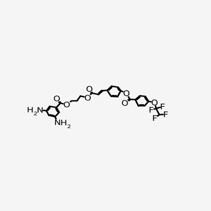 Nc1cc(N)cc(C(=O)OCCCOC(=O)/C=C/c2ccc(OC(=O)c3ccc(OC(F)(F)C(F)F)cc3)cc2)c1